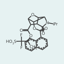 CC(C)N1C(=O)C2C3OC(C(OC(=O)c4cccc5ccccc45)C31)C2C(=O)OC(C)C(F)(F)S(=O)(=O)O